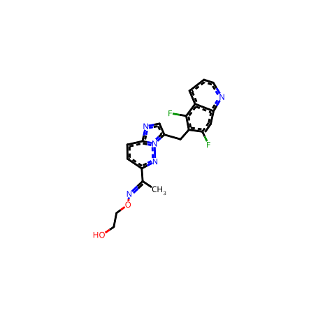 C/C(=N\OCCO)c1ccc2ncc(Cc3c(F)cc4ncccc4c3F)n2n1